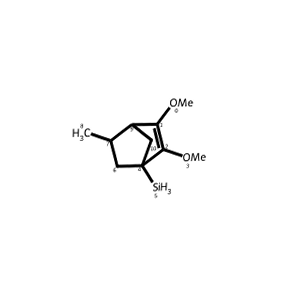 COC1=C(OC)C2([SiH3])CC(C)C1C2